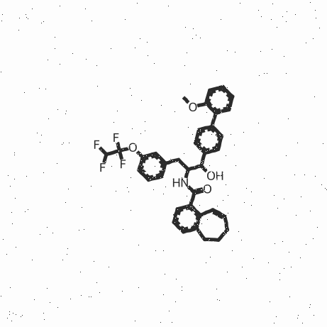 COc1ccccc1-c1ccc(C(O)C(Cc2cccc(OC(F)(F)C(F)F)c2)NC(=O)c2cccc3c2C=CCCC3)cc1